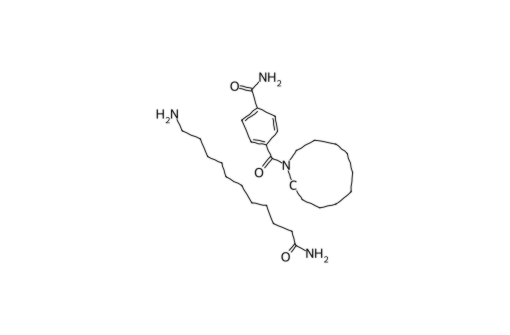 NC(=O)c1ccc(C(=O)N2CCCCCCCCCC2)cc1.NCCCCCCCCCCC(N)=O